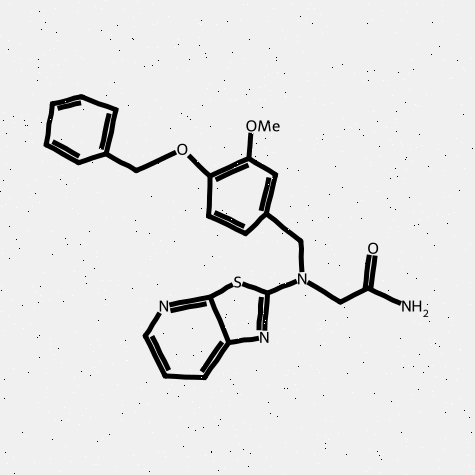 COc1cc(CN(CC(N)=O)c2nc3cccnc3s2)ccc1OCc1ccccc1